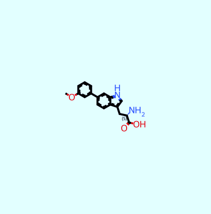 COc1cccc(-c2ccc3c(C[C@H](N)C(=O)O)c[nH]c3c2)c1